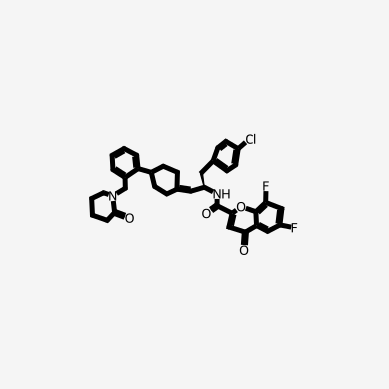 O=C(N[C@@H](C=C1CCC(c2ccccc2CN2CCCCC2=O)CC1)Cc1ccc(Cl)cc1)c1cc(=O)c2cc(F)cc(F)c2o1